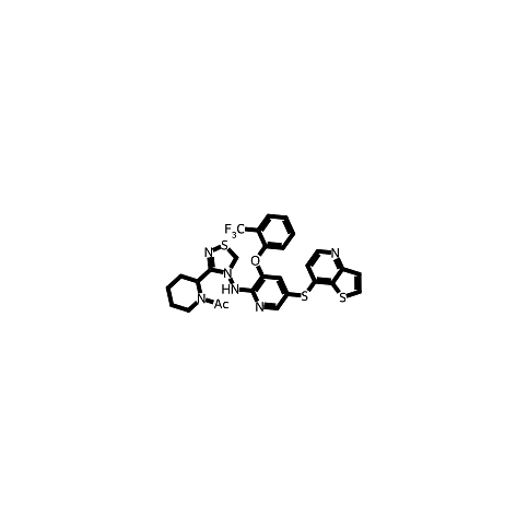 CC(=O)N1CCCCC1C1=NSCN1Nc1ncc(Sc2ccnc3ccsc23)cc1Oc1ccccc1C(F)(F)F